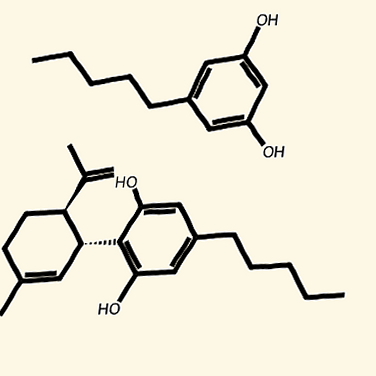 C=C(C)[C@@H]1CCC(C)=C[C@H]1c1c(O)cc(CCCCC)cc1O.CCCCCc1cc(O)cc(O)c1